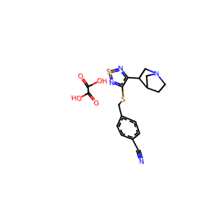 N#Cc1ccc(CSc2nsnc2C2CN3CCC2C3)cc1.O=C(O)C(=O)O